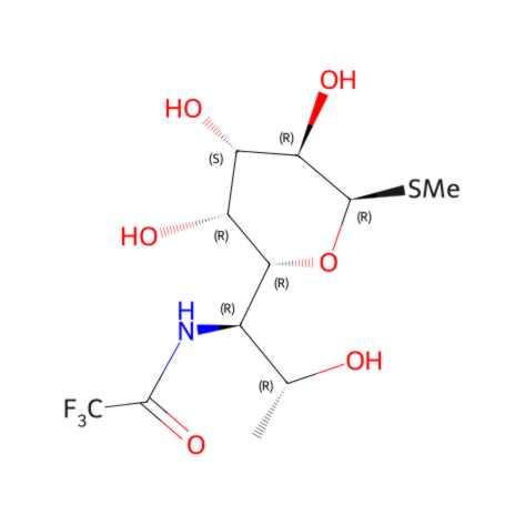 CS[C@H]1O[C@H]([C@H](NC(=O)C(F)(F)F)[C@@H](C)O)[C@H](O)[C@H](O)[C@H]1O